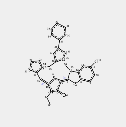 CCn1c(=O)/c(=C2\Sc3ccc(Cl)cc3N2C)s/c1=C\c1scc[n+]1Cc1cc(-c2ccccc2)no1